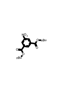 CCCCOC(=O)c1cc(C(=O)OCCCC)cc([N+](=O)[O-])c1